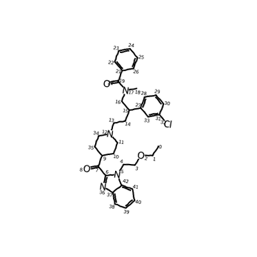 CCOCCn1c(C(=O)C2CCN(CCC(CN(C)C(=O)c3ccccc3)c3cccc(Cl)c3)CC2)nc2ccccc21